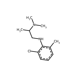 Cc1cccc(Cl)c1NCC(C)N(C)C